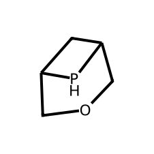 C1OCC2CC1P2